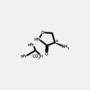 CCCC(CCC)C(=O)O.N[C@@H]1CONC1=O